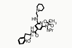 CCCN(c1cc(C(=O)N[C@H](CO)Cc2ccccc2)cc(NCCN2CCCCC2)n1)S(C)(=O)=O